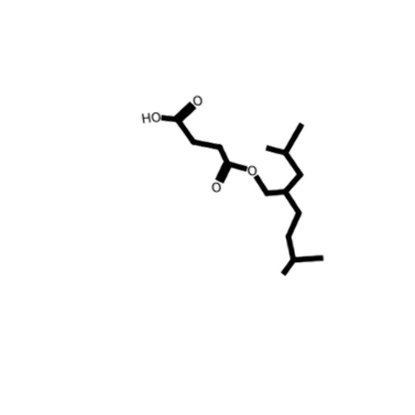 CC(C)CCC(COC(=O)CCC(=O)O)CC(C)C